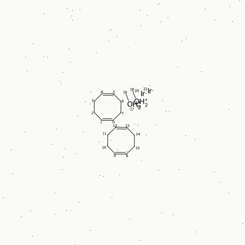 C1=CCCC=CCC1.C1=CCCC=CCC1.C[OH2+].C[OH2+].[Ir].[Ir]